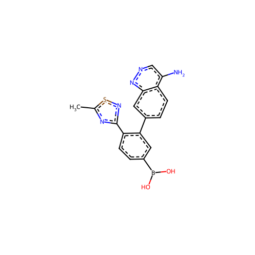 Cc1nc(-c2ccc(B(O)O)cc2-c2ccc3c(N)cnnc3c2)ns1